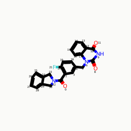 O=C(c1cc(Cn2c(=O)[nH]c(=O)c3ccccc32)ccc1F)N1Cc2ccccc2C1